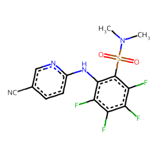 CN(C)S(=O)(=O)c1c(F)c(F)c(F)c(F)c1Nc1ccc(C#N)cn1